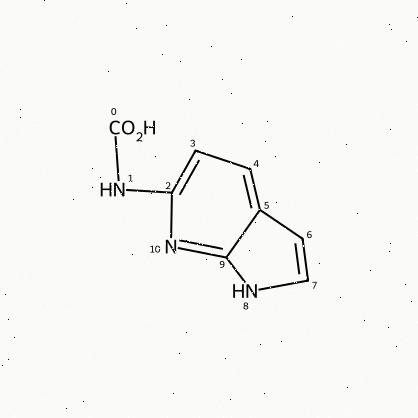 O=C(O)Nc1ccc2cc[nH]c2n1